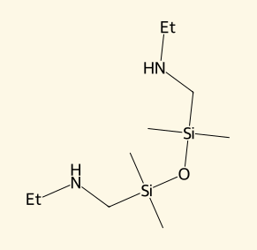 CCNC[Si](C)(C)O[Si](C)(C)CNCC